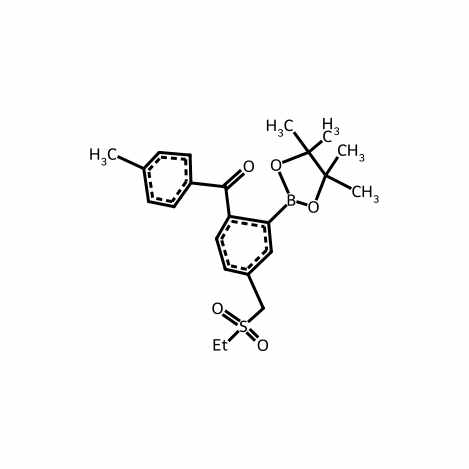 CCS(=O)(=O)Cc1ccc(C(=O)c2ccc(C)cc2)c(B2OC(C)(C)C(C)(C)O2)c1